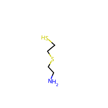 NCCSCCS